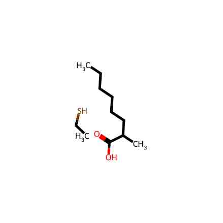 CCCCCCC(C)C(=O)O.CCS